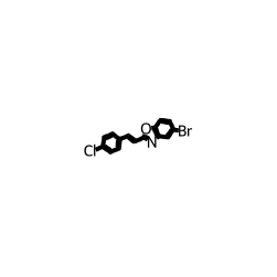 Clc1ccc(C=Cc2nc3cc(Br)ccc3o2)cc1